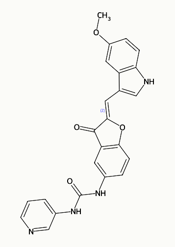 COc1ccc2[nH]cc(/C=C3\Oc4ccc(NC(=O)Nc5cccnc5)cc4C3=O)c2c1